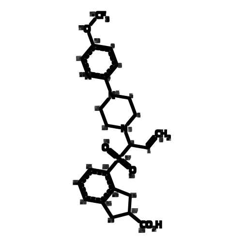 C=CC(N1CCN(c2ccc(OC(F)(F)F)cn2)CC1)S(=O)(=O)c1cccc2c1CC(C(=O)O)C2